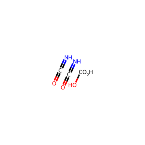 N=C=O.N=C=O.O=C(O)O